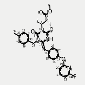 COC(=O)[C@H](C)[C@H](C)n1c(=O)[nH]/c(=N\c2ccc(Oc3cccc(F)n3)cc2)n(Cc2ccc(C)cc2)c1=O